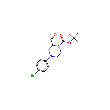 CC(C)(C)OC(=O)N1CCN(c2ccc(Br)cc2)CC1C=O